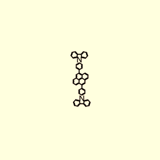 c1cc2cc(-c3ccc(-n4c5ccccc5c5ccccc54)cc3)c3cccc4cc(-c5ccc(-n6c7ccccc7c7ccccc76)cc5)c(c1)c2c43